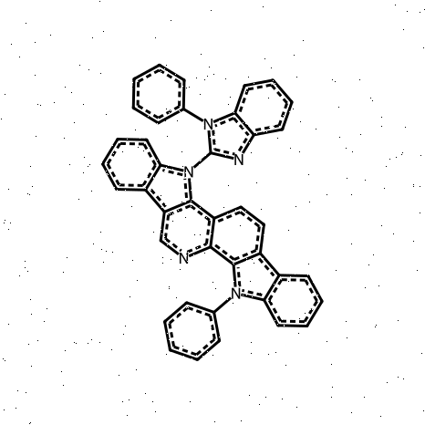 c1ccc(-n2c(-n3c4ccccc4c4cnc5c(ccc6c7ccccc7n(-c7ccccc7)c65)c43)nc3ccccc32)cc1